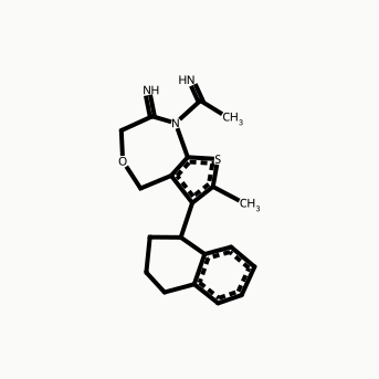 CC(=N)N1C(=N)COCc2c1sc(C)c2C1CCCc2ccccc21